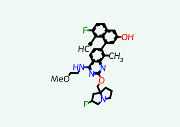 C#Cc1c(F)ccc2cc(O)cc(-c3ccc4c(NCCOC)nc(OCC56CCCN5CC(F)C6)nc4c3C)c12